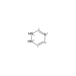 [C]1=CNNC=N1